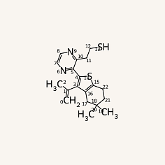 C=C(C)c1c(-c2nccnc2CCS)sc2c1CC(C)(C)CC2